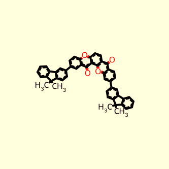 CC1(C)c2ccccc2-c2cc(-c3ccc4c(=O)c5ccc6oc7ccc(-c8ccc9c(c8)-c8ccccc8C9(C)C)cc7c(=O)c6c5oc4c3)ccc21